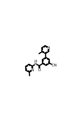 Cc1cccc(NC(=O)c2cc(C#N)cc(-c3cnccc3C)c2)n1